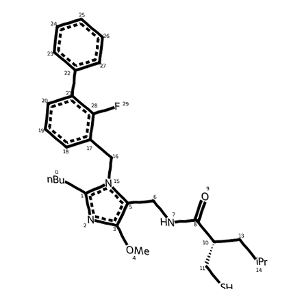 CCCCc1nc(OC)c(CNC(=O)[C@@H](CS)CC(C)C)n1Cc1cccc(-c2ccccc2)c1F